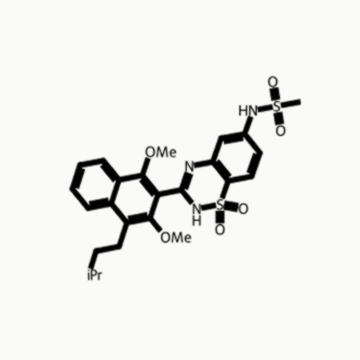 COc1c(C2=Nc3cc(NS(C)(=O)=O)ccc3S(=O)(=O)N2)c(OC)c2ccccc2c1CCC(C)C